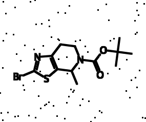 CC1c2sc(Br)nc2CCN1C(=O)OC(C)(C)C